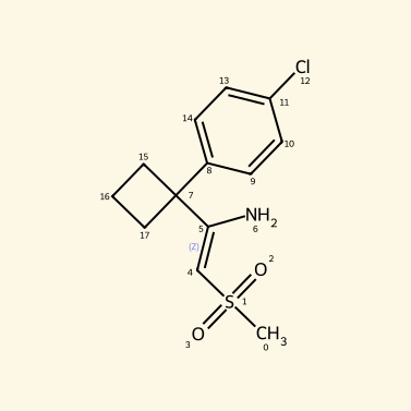 CS(=O)(=O)/C=C(\N)C1(c2ccc(Cl)cc2)CCC1